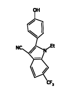 CCn1c(-c2ccc(O)cc2)c(C#N)c2ccc(C(F)(F)F)cc21